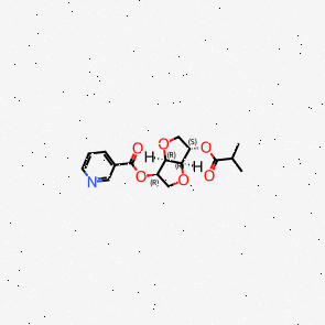 CC(C)C(=O)O[C@H]1CO[C@H]2[C@@H]1OC[C@H]2OC(=O)c1cccnc1